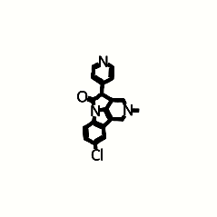 CN1Cc2c3n(c4ccc(Cl)cc24)C(=O)C(c2ccncc2)C3C1